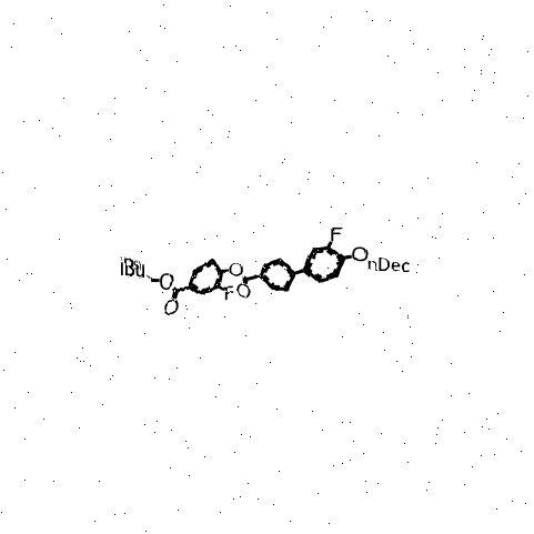 CCCCCCCCCCOc1ccc(-c2ccc(C(=O)Oc3ccc(C(=O)OC[C@@H](C)CC)cc3F)cc2)cc1F